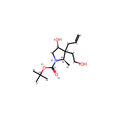 C=CCC1(CCO)C(O)CN(C(=O)OC(C)(C)C)[C@@H]1C